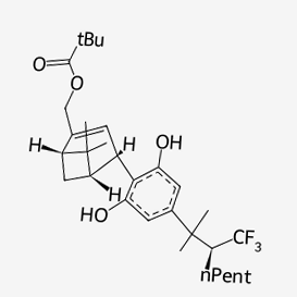 CCCCC[C@H](C(F)(F)F)C(C)(C)c1cc(O)c([C@H]2C=C(COC(=O)C(C)(C)C)[C@H]3C[C@@H]2C3(C)C)c(O)c1